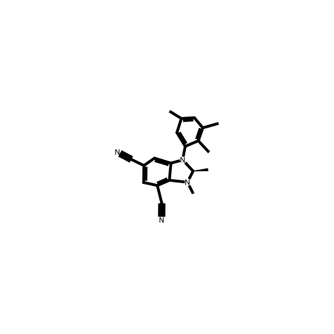 Cc1cc(C)c(C)c(N2c3cc(C#N)cc(C#N)c3N(C)[C@@H]2C)c1